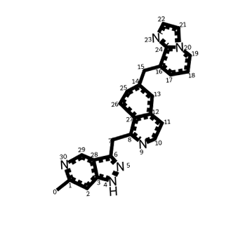 Cc1cc2[nH]nc(Cc3nccc4cc(Cc5cccn6ccnc56)ccc34)c2cn1